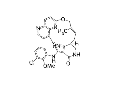 COc1c(Cl)cccc1Nc1c2[nH]c3c1C(=O)NC[C@@H]3C/C=C(\C)COc1ccc3nccc-2c3n1